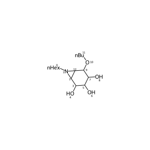 CCCCCCN1C2C(O)C(O)C(O)C(OCCCC)C21